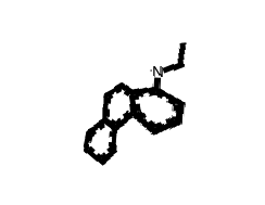 CC[N]c1cccc2c1ccc1ccccc12